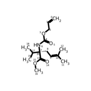 C=CCOC(=O)N[C@@](CC=C(C)C)(C(=O)OC)C(C)C